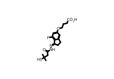 CC(C)(S)CC(=O)NN=C1CCc2cc(OCCCC(=O)O)cc(F)c21